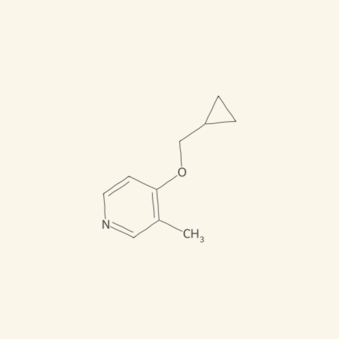 Cc1cnccc1OCC1CC1